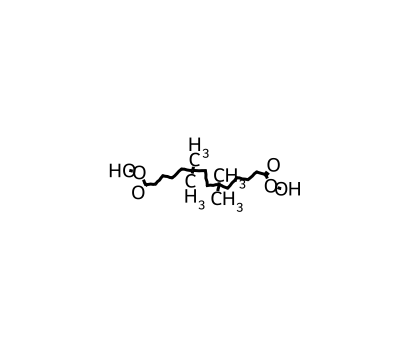 CC(C)(CCCCC(=O)OO)CCC(C)(C)CCCCC(=O)OO